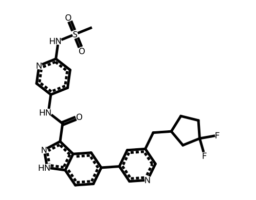 CS(=O)(=O)Nc1ccc(NC(=O)c2n[nH]c3ccc(-c4cncc(CC5CCC(F)(F)C5)c4)cc23)cn1